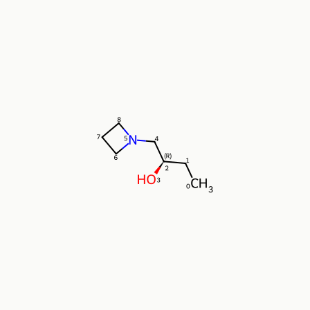 CC[C@@H](O)CN1CCC1